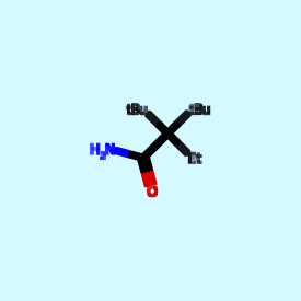 CCC(C(N)=O)(C(C)(C)C)C(C)(C)C